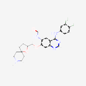 CN1CCC2(CCC(COc3cc4ncnc(Nc5ccc(F)c(Cl)c5)c4cc3NC=O)O2)CC1